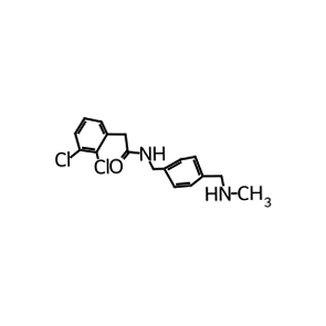 CNCc1ccc(CNC(=O)Cc2cccc(Cl)c2Cl)cc1